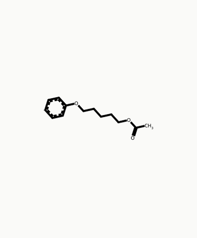 CC(=O)OCCCCCOc1cc[c]cc1